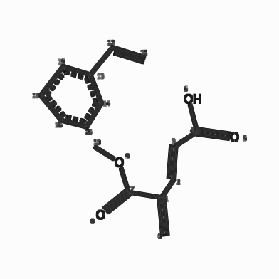 C=C(C=CC(=O)O)C(=O)OC.C=Cc1ccccc1